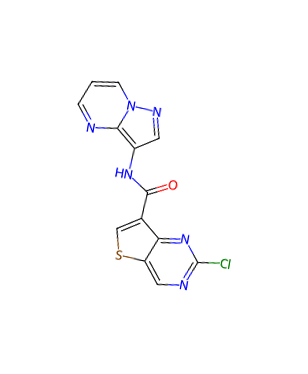 O=C(Nc1cnn2cccnc12)c1csc2cnc(Cl)nc12